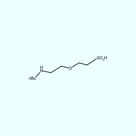 CCCCNCCOCCS(=O)(=O)O